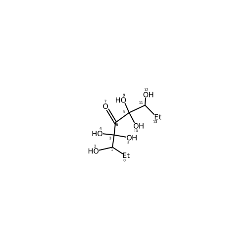 CCC(O)C(O)(O)C(=O)C(O)(O)C(O)CC